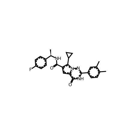 Cc1ccc(-c2nn3c(C4CC4)c(C(=O)N[C@H](C)c4ccc(F)cc4)cc3c(=O)[nH]2)cc1C